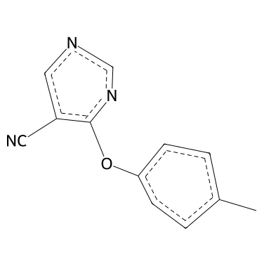 Cc1ccc(Oc2ncncc2C#N)cc1